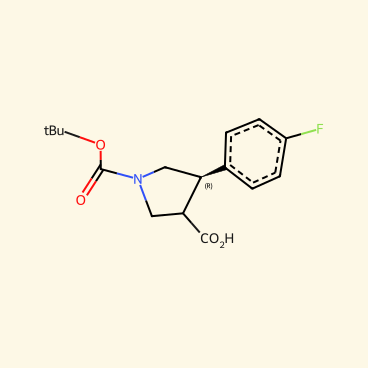 CC(C)(C)OC(=O)N1CC(C(=O)O)[C@H](c2ccc(F)cc2)C1